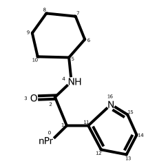 CCCC(C(=O)NC1CCCCC1)c1ccccn1